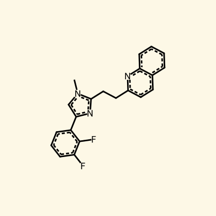 Cn1cc(-c2cccc(F)c2F)nc1CCc1ccc2ccccc2n1